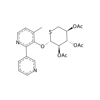 CC(=O)O[C@@H]1[C@@H](OC(C)=O)[C@H](OC(C)=O)CS[C@H]1Oc1c(C)ccnc1-c1cccnc1